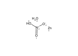 O.O=[N+]([O-])O.[Zn]